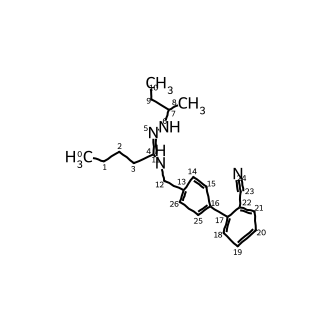 CCCC/C(=N/NC(C)CC)NCc1ccc(-c2ccccc2C#N)cc1